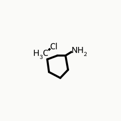 CCl.NC1CCCCC1